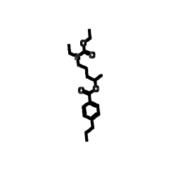 CCCc1ccc(C(=O)OC(C)CCCN(CC)C(=O)OCC)cc1